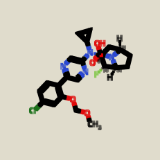 COCOc1cc(Cl)ccc1-c1cnc(N(C2CC2)[C@@H]2C[C@H]3CC[C@@H]([C@@H]2F)N3C(=O)O)cn1